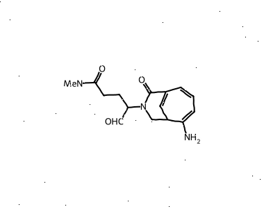 CNC(=O)CCC(C=O)N1CC2C=C(C=CC=C2N)C1=O